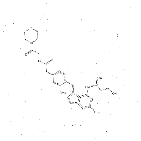 CCCC[C@@H](CCO)Nc1nc(N)nc2ccn(Cc3ccc(CC(=O)OCC(=O)N4CCOCC4)cc3OC)c12